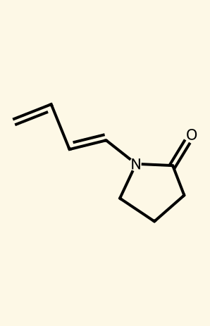 C=CC=CN1CCCC1=O